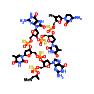 CNCC(C)OP(=O)(S)OC[C@H]1O[C@@H](n2cnc3c(=O)[nH]c(N)nc32)CC1OP(=O)(S)OC[C@H]1O[C@@H](n2cc(C)c(=O)[nH]c2=O)CC1OP(=O)(S)OC[C@H]1O[C@@H](n2c(=O)[nH]c3c(=O)[nH]c(N)nc32)CC1OP(=O)(S)OC[C@H]1O[C@@H](n2cc(C)c(=O)[nH]c2=O)CC1OP(=O)(S)OC[C@H]1O[C@@H](n2ccc(N)nc2=O)CC1C(C)C